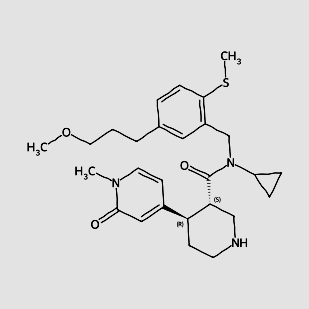 COCCCc1ccc(SC)c(CN(C(=O)[C@@H]2CNCC[C@H]2c2ccn(C)c(=O)c2)C2CC2)c1